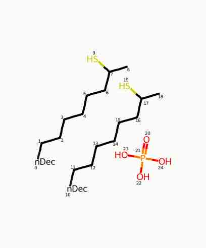 CCCCCCCCCCCCCCCCC(C)S.CCCCCCCCCCCCCCCCC(C)S.O=P(O)(O)O